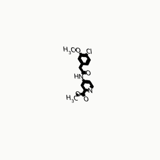 COC(=O)C1CC(NC(=O)Cc2ccc(Cl)c(OC)c2)=CC=N1